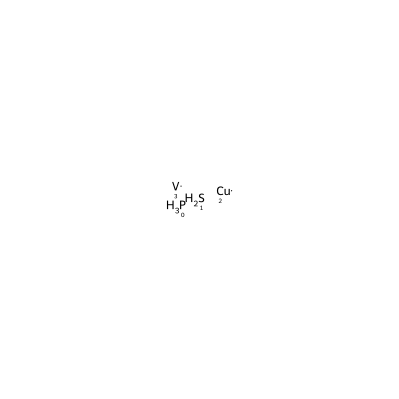 P.S.[Cu].[V]